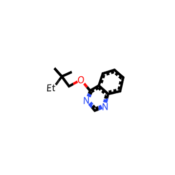 CCC(C)(C)COc1ncnc2ccccc12